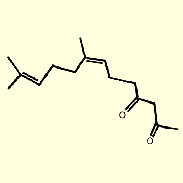 CC(=O)CC(=O)CCC=C(C)CCC=C(C)C